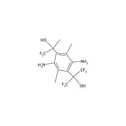 Cc1c(N)c(C(O)(C(F)(F)F)C(F)(F)F)c(C)c(N)c1C(C)(O)C(F)(F)F